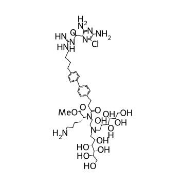 COC(=O)[C@@H](CCCCN)N(CCN(C[C@H](O)[C@@H](O)[C@H](O)[C@H](O)CO)C[C@H](O)[C@@H](O)[C@H](O)[C@H](O)CO)C(=O)CCc1ccc(-c2ccc(CCCCNC(=N)NC(=O)c3nc(Cl)c(N)nc3N)cc2)cc1